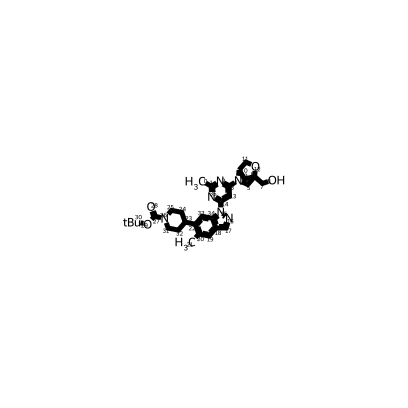 Cc1nc(N2CC3(CO)CC2CO3)cc(-n2ncc3cc(C)c(C4CCN(C(=O)OC(C)(C)C)CC4)cc32)n1